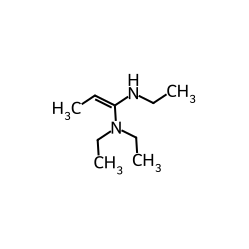 CC=C(NCC)N(CC)CC